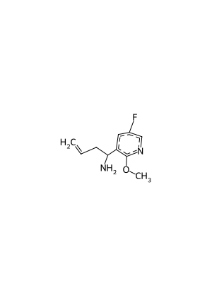 C=CCC(N)c1cc(F)cnc1OC